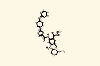 CCCNC(=O)c1cc(CN2[C@@H](C)COC[C@@H]2C)ccc1NC(=O)c1csc(N2CCC(Oc3ncccn3)CC2)n1